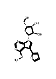 COc1ncnc2c1c(-c1ccco1)cn2[C@@H]1O[C@H](CO)[C@@H](O)[C@H]1O